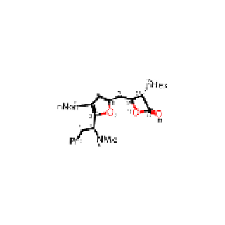 CCCCCCCCCC1=C([C@H](CC(C)C)NC)O[C@H](C[C@@H]2OC(=O)[C@H]2CCCCCC)C1